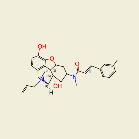 C=CCN1CC[C@]23c4c5ccc(O)c4OC2CC(N(C)C(=O)/C=C/c2cccc(C)c2)C[C@@]3(O)[C@H]1C5